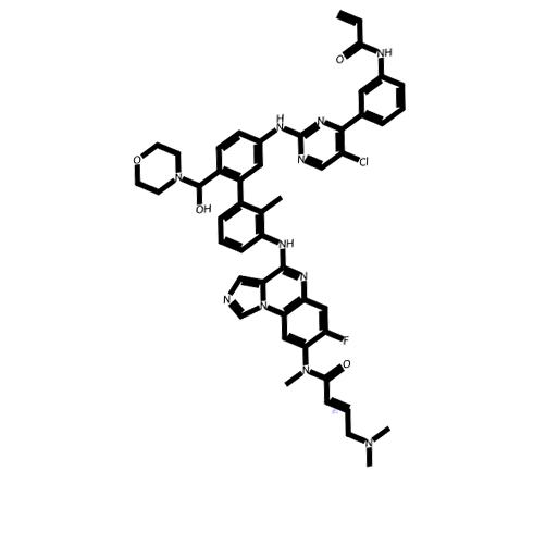 C=CC(=O)Nc1cccc(-c2nc(Nc3ccc(C(O)N4CCOCC4)c(-c4cccc(Nc5nc6cc(F)c(N(C)C(=O)/C=C/CN(C)C)cc6n6cncc56)c4C)c3)ncc2Cl)c1